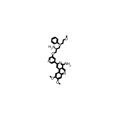 COCCN(C[C@H](N)COc1cncc(-c2cc3c(cnc4cc(OC)c(OC)cc43)c(N)n2)c1)c1ccccc1